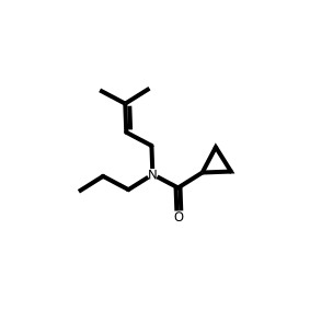 CCCN(CC=C(C)C)C(=O)C1CC1